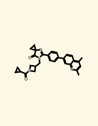 Cc1cc(C)c2ccc(-c3ccc(C4=NC5(CC5)C(=O)N4CC4CN(C(=O)C5CC5)C4)cc3)cc2n1